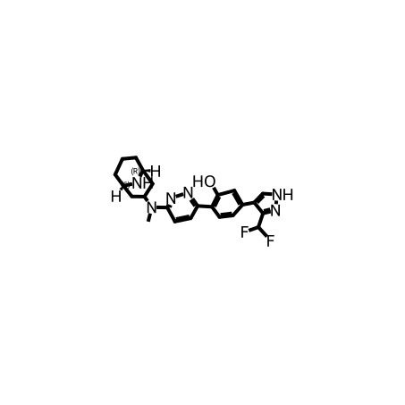 CN(c1ccc(-c2ccc(-c3c[nH]nc3C(F)F)cc2O)nn1)C1C[C@H]2CCC[C@@H](C1)N2